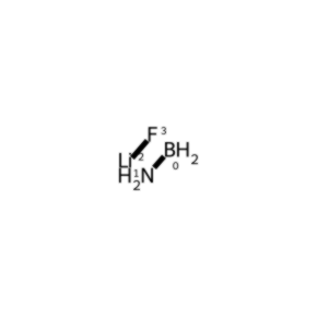 BN.[Li][F]